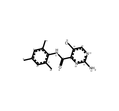 Cc1cc(C)c(NC(=O)c2nc(N)ncc2Cl)c(C)c1